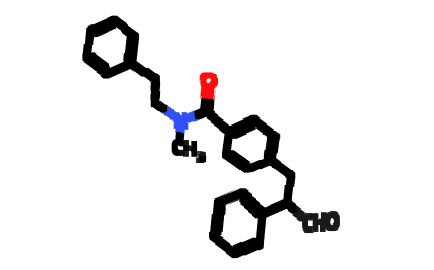 CN(CCc1ccccc1)C(=O)c1ccc(CC(C=O)c2ccccc2)cc1